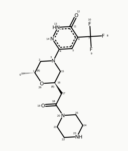 C[C@@H]1CN(c2cc(C(F)(F)F)c(=O)[nH]n2)C[C@@H](CC(=O)N2CCNCC2)O1